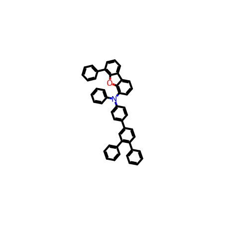 c1ccc(-c2ccc(-c3ccc(N(c4ccccc4)c4cccc5c4oc4c(-c6ccccc6)cccc45)cc3)cc2-c2ccccc2)cc1